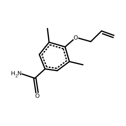 C=CCOc1c(C)cc(C(N)=O)cc1C